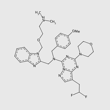 COc1ccc(CN(Cc2nc3ccccc3n2COCC[SiH](C)C)c2nc(N3CCOCC3)nc3c(CC(F)F)cnn23)cc1